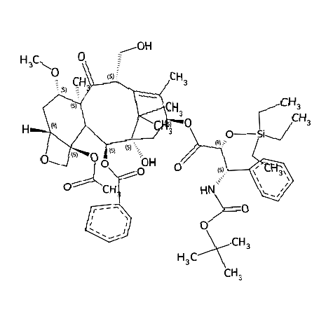 CC[Si](CC)(CC)O[C@@H](C(=O)O[C@H]1C[C@@]2(O)[C@@H](OC(=O)c3ccccc3)C3[C@](C)(C(=O)[C@H](CO)C(=C1C)C2(C)C)[C@@H](OC)C[C@H]1OC[C@@]31OC(C)=O)[C@@H](NC(=O)OC(C)(C)C)c1ccccc1